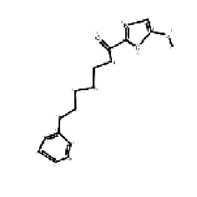 CSc1cnc(C(=O)CCCCCCc2ccccc2)o1